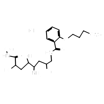 CCCCNC(=O)C(C)CC(O)C(N)CC(CNC(=O)c1ccccc1OCCCOC)C(C)C.Cl